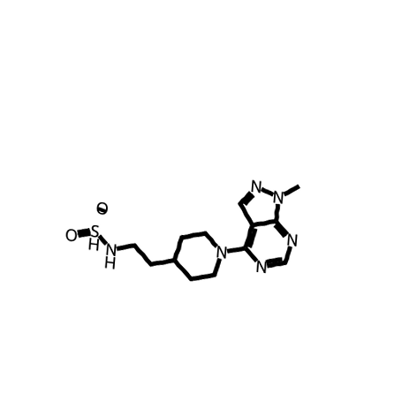 Cn1ncc2c(N3CCC(CCN[SH](=O)=O)CC3)ncnc21